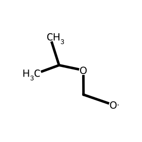 CC(C)OC[O]